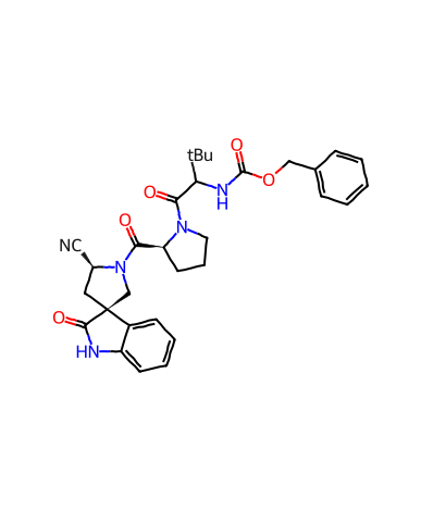 CC(C)(C)C(NC(=O)OCc1ccccc1)C(=O)N1CCC[C@H]1C(=O)N1C[C@]2(C[C@H]1C#N)C(=O)Nc1ccccc12